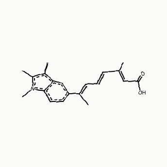 CC(C=CC=C(C)c1ccc2c(c1)c(C)c(C)n2C)=CC(=O)O